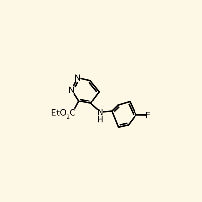 CCOC(=O)c1nnccc1Nc1ccc(F)cc1